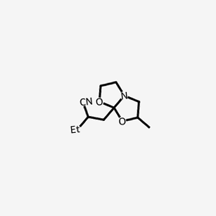 CCC(C#N)CC12OCCN1CC(C)O2